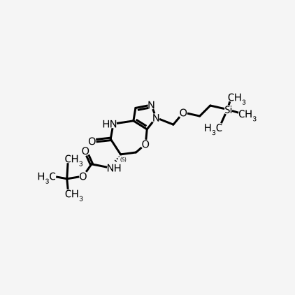 CC(C)(C)OC(=O)N[C@H]1COc2c(cnn2COCC[Si](C)(C)C)NC1=O